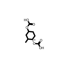 CC1CC(OC(=O)O)CC[C@@H]1OC(=O)O